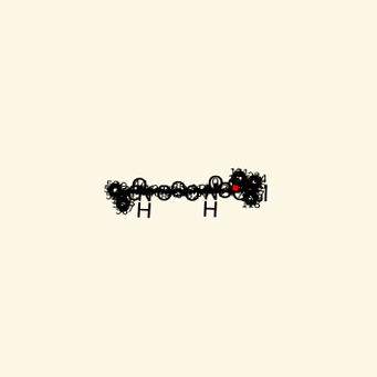 O=C(COCC(=O)OC(c1ccccc1)(c1ccccc1)c1ccccc1Cl)NCCCOCCOCCOCCCNC(=O)OCC1c2ccccc2-c2ccccc21